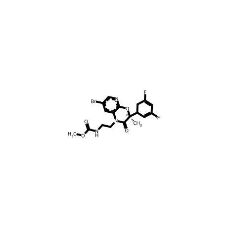 COC(=O)NCCN1C(=O)[C@](C)(C2C=C(F)C=C(F)C2)Oc2ncc(Br)cc21